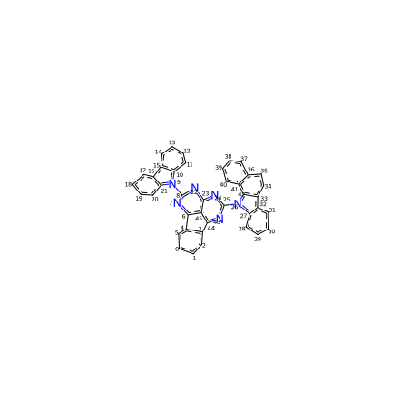 c1ccc2c(c1)-c1nc(-n3c4ccccc4c4ccccc43)nc3nc(-n4c5ccccc5c5ccc6ccccc6c54)nc-2c13